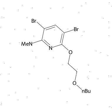 CCCCOCCOc1nc(NC)c(Br)cc1Br